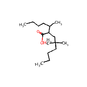 CCCCC(C)C(CC(C)(C)CCCC)C(=O)O